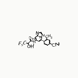 Cc1cc(C#N)ccc1-c1cc(NC(=O)C(O)C(F)(F)F)cc2ncnn12